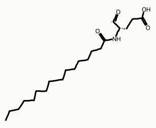 CCCCCCCCCCCCCCCC(=O)N[C@H]([C]=O)CCC(=O)O